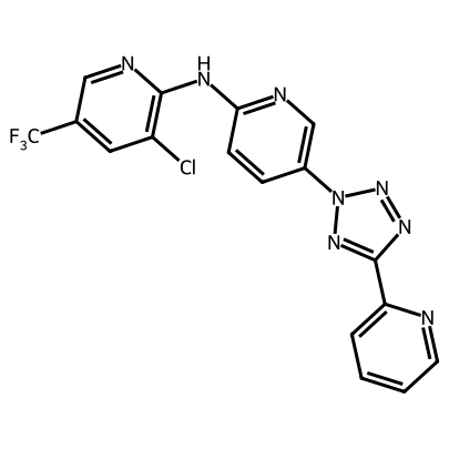 FC(F)(F)c1cnc(Nc2ccc(-n3nnc(-c4ccccn4)n3)cn2)c(Cl)c1